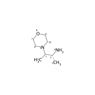 CC([C@@H](C)N)N1CCOCC1